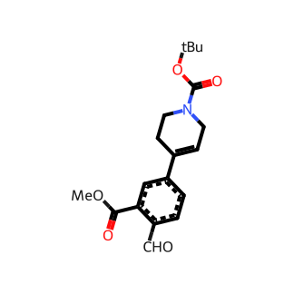 COC(=O)c1cc(C2=CCN(C(=O)OC(C)(C)C)CC2)ccc1C=O